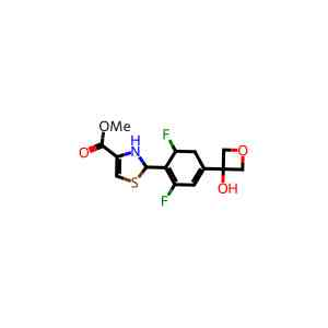 COC(=O)C1=CSC(C2=C(F)C=C(C3(O)COC3)CC2F)N1